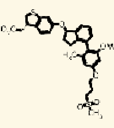 COc1cc(OCCCS(C)(=O)=O)cc(C)c1-c1cccc2c1CCC2Oc1ccc2c(c1)SC[C@H]2CC(=O)O